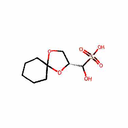 O=S(=O)(O)C(O)[C@H]1COC2(CCCCC2)O1